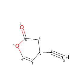 C#CC1C=COC(=O)C1